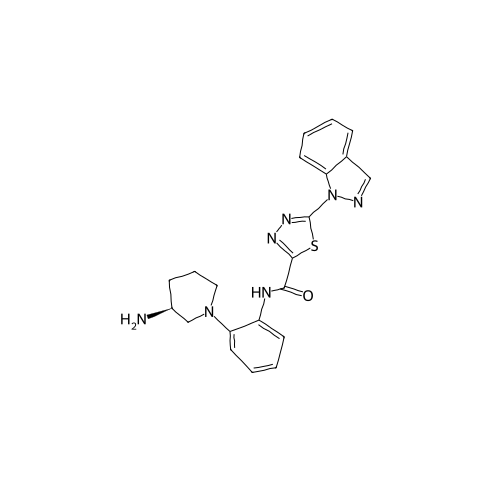 N[C@H]1CCCN(c2ccccc2NC(=O)c2nnc(-n3ncc4ccccc43)s2)C1